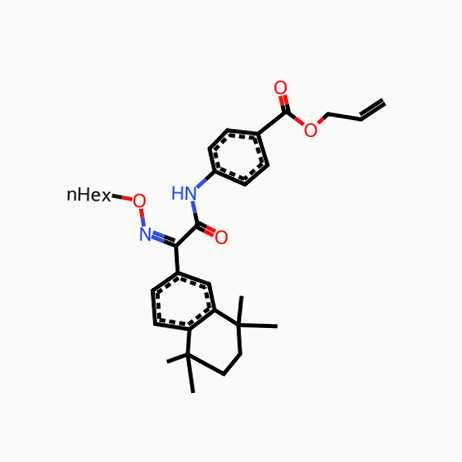 C=CCOC(=O)c1ccc(NC(=O)/C(=N\OCCCCCC)c2ccc3c(c2)C(C)(C)CCC3(C)C)cc1